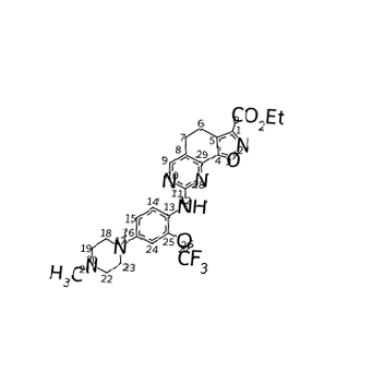 CCOC(=O)c1noc2c1CCc1cnc(Nc3ccc(N4CCN(C)CC4)cc3OC(F)(F)F)nc1-2